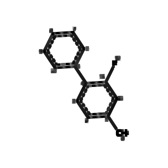 [CH]c1ccc(-c2ccccc2)c(F)c1